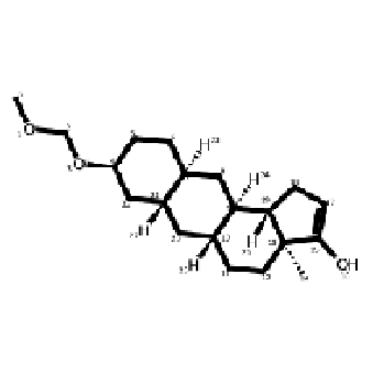 COCO[C@H]1CC[C@H]2C[C@@H]3[C@H](CC[C@]4(C)C(O)=CC[C@@H]34)C[C@@H]2C1